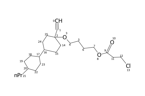 C#CC1(OCCCCOC(=O)CCCl)CCC(C2CCC(CCC)CC2)CC1